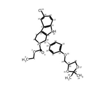 CCOC(=O)N1CCc2c([nH]c3ccc(Cl)cc23)[C@@H]1c1ccc(OC[C@H]2COC(C)(C)O2)cc1